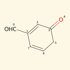 O=CC1=CC(=O)CC=C1